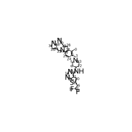 Cc1c(CN2CCC(Nc3ncnc4sc(CC(F)F)cc34)CC2)ccc2c1cc(C#N)n2CC1=CCN=C1